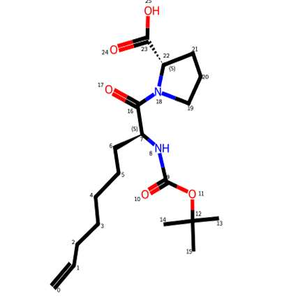 C=CCCCCC[C@H](NC(=O)OC(C)(C)C)C(=O)N1CCC[C@H]1C(=O)O